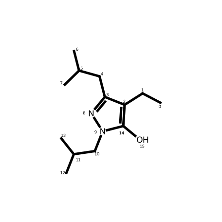 CCc1c(CC(C)C)nn(CC(C)C)c1O